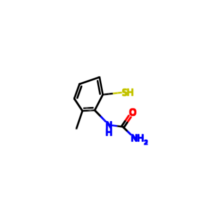 Cc1cccc(S)c1NC(N)=O